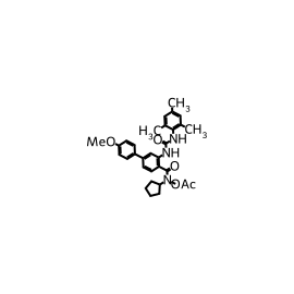 COc1ccc(-c2ccc(C(=O)N(OC(C)=O)C3CCCC3)c(NC(=O)Nc3c(C)cc(C)cc3C)c2)cc1